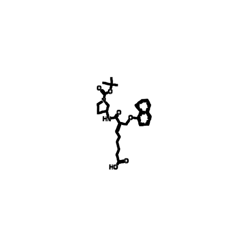 CC(C)(C)OC(=O)N1CCC(NC(=O)/C(=C/CCCCC(=O)O)COc2cccc3ccccc23)C1